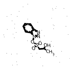 CC(O)CS(=O)(=O)On1nnc2ccccc21